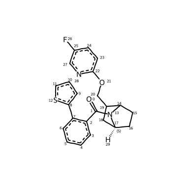 O=C(c1ccccc1-c1cccs1)N1C2CC[C@H]1CC2COc1ccc(F)cn1